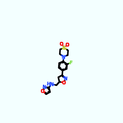 O=S1(=O)CCN(c2ccc(C3=NOC(CNc4ccon4)C3)cc2F)CC1